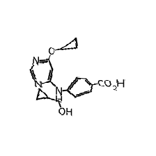 O=C(O)c1ccc(Nc2cc(OC3CC3)ncn2)cc1.OCC1CC1